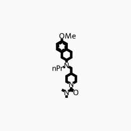 CCCN(CC1CCN(C(=O)N(C)C)CC1)C1CCc2cc(OC)ccc2C1